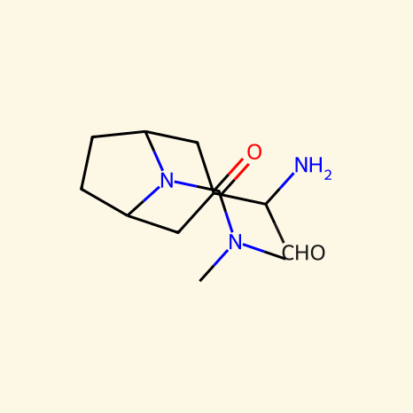 CN(C)C(=O)N1C2CCC1CC(C(N)C=O)C2